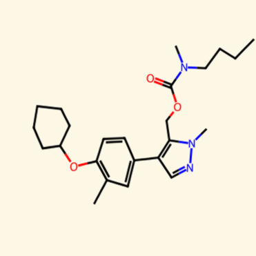 CCCCN(C)C(=O)OCc1c(-c2ccc(OC3CCCCC3)c(C)c2)cnn1C